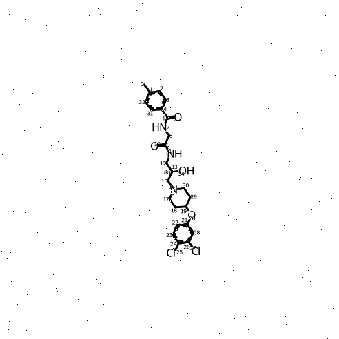 Cc1ccc(C(=O)NCC(=O)NC[C@@H](O)CN2CCC(Oc3ccc(Cl)c(Cl)c3)CC2)cc1